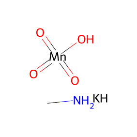 CN.[KH].[O]=[Mn](=[O])(=[O])[OH]